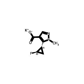 Cn1ncc(C(=O)[O-])c1[C@@H]1C[C@H]1F.[K+]